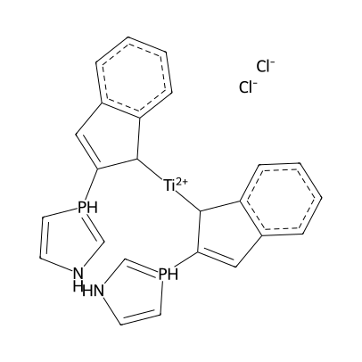 C1=C[PH](C2=Cc3ccccc3[CH]2[Ti+2][CH]2C([PH]3=CNC=C3)=Cc3ccccc32)=CN1.[Cl-].[Cl-]